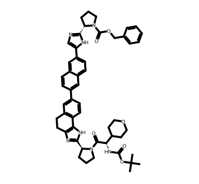 CC(C)(C)OC(=O)N[C@H](C(=O)N1CCC[C@H]1c1nc2c([nH]1)-c1ccc(-c3ccc4cc(-c5cnc([C@@H]6CCCN6C(=O)OCc6ccccc6)[nH]5)ccc4c3)cc1CC2)C1CCOCC1